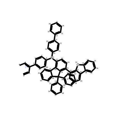 C=C/C(=C\C)c1ccc(N(c2ccc(-c3ccccc3)cc2)c2ccc(-c3cccc4c3oc3ccccc34)c3c2-c2ccccc2C3(c2ccccc2)c2ccccc2)cc1